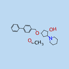 CC=O.O[C@H]1C[C@@H](OCc2ccc(-c3ccccc3)cc2)C[C@@H]1N1CCCCC1